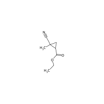 CCOC(=O)C1CC1(C)C#N